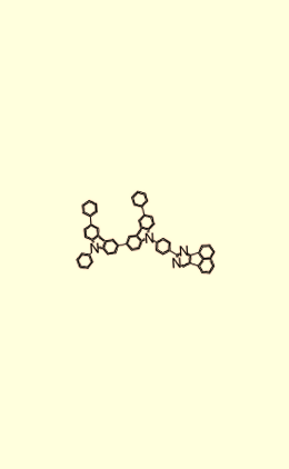 c1ccc(-c2ccc3c(c2)c2cc(-c4ccc5c(c4)c4cc(-c6ccccc6)ccc4n5-c4ccc(-c5ncc6c(n5)-c5cccc7cccc-6c57)cc4)ccc2n3-c2ccccc2)cc1